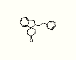 O=C1CCC2(CC1)c1ccccc1CC2CCc1cccnc1